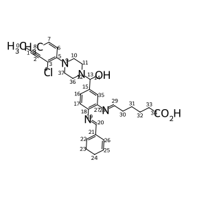 CC#C/C(Cl)=C(\C=C/C)N1CCN(C(O)c2ccc(/N=C/C3=CCCC=C3)c(/N=C/CCCCC(=O)O)c2)CC1